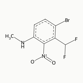 CNc1ccc(Br)c(C(F)F)c1[N+](=O)[O-]